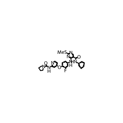 CSc1ncc(C(=O)Nc2ccccc2)c(Nc2ccc(Oc3ccnc(NC(=O)N4CCCC4)c3)c(F)c2)n1